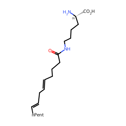 CCCCCC=CCC=CCCCC(=O)NCCCC[C@H](N)C(=O)O